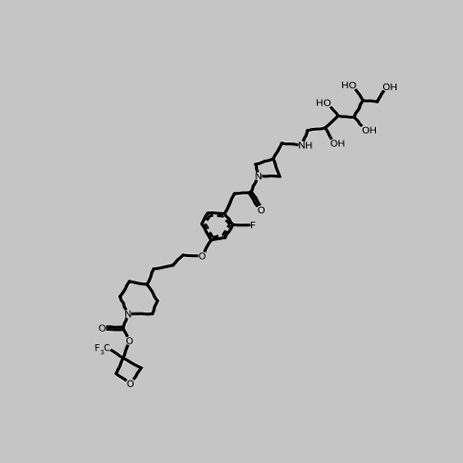 O=C(Cc1ccc(OCCCC2CCN(C(=O)OC3(C(F)(F)F)COC3)CC2)cc1F)N1CC(CNCC(O)C(O)C(O)C(O)CO)C1